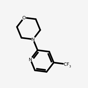 FC(F)(F)c1ccnc(N2CCOCC2)c1